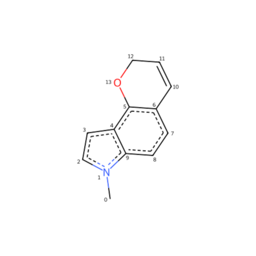 Cn1ccc2c3c(ccc21)C=CCO3